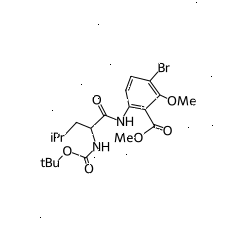 COC(=O)c1c(NC(=O)C(CC(C)C)NC(=O)OC(C)(C)C)ccc(Br)c1OC